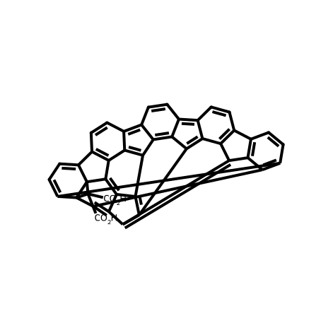 O=C(O)C1(C(=O)O)C23C4=CC=C5c6ccc7c8ccc9c%10ccc%11c%12ccc4c4c2c2c%13c(c6c7c6c8c9c7c%10c%11c(c4%12)c2c7c%136)C513